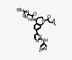 CN(C)CC(=O)N1CC[C@H](NC(=O)c2noc(C(C)(C)C)n2)c2ccc(-c3ccnc(Nc4cnn(C)c4)n3)cc2C1